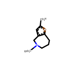 CCOC(=O)N1CCCc2sc(C(=O)O)cc2C1